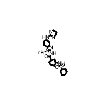 CCCn1c(NC(=O)c2cccc(NS(=O)(=O)c3ccccc3)c2)nc2cc(Nc3ncccn3)ccc21